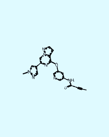 CC#CC(=O)Nc1cncc(Oc2nc(-c3cnn(C)c3)cn3nccc23)c1